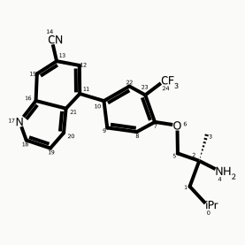 CC(C)C[C@](C)(N)COc1ccc(-c2cc(C#N)cc3ncccc23)cc1C(F)(F)F